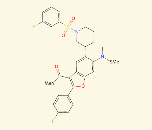 CNC(=O)c1c(-c2ccc(F)cc2)oc2cc(N(C)SC)c([C@H]3CCCN(S(=O)(=O)c4cccc(F)c4)C3)cc12